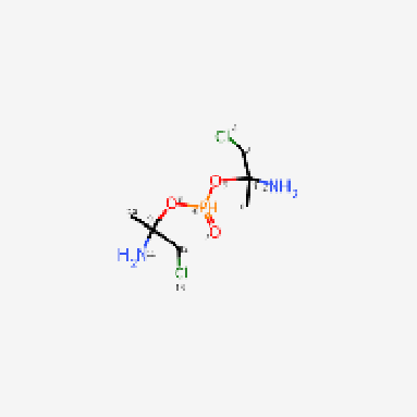 CC(N)(CCl)O[PH](=O)OC(C)(N)CCl